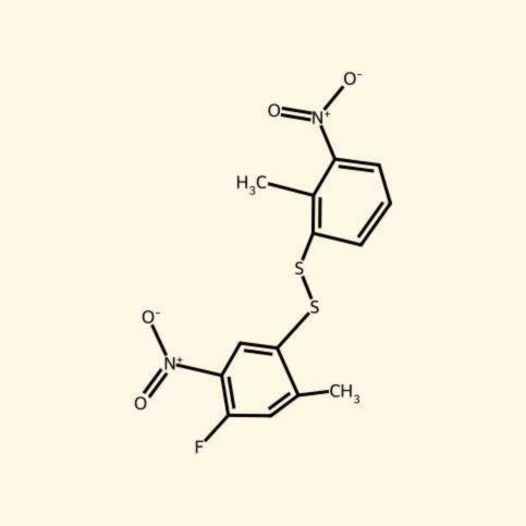 Cc1cc(F)c([N+](=O)[O-])cc1SSc1cccc([N+](=O)[O-])c1C